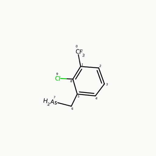 FC(F)(F)c1cccc(C[AsH2])c1Cl